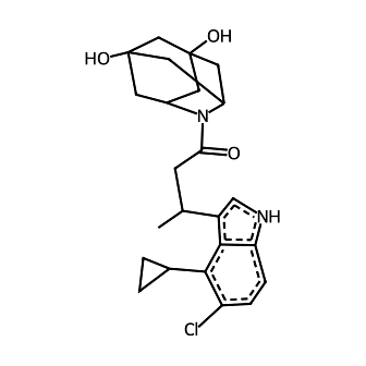 CC(CC(=O)N1C2CC3(O)CC1CC(O)(C2)C3)c1c[nH]c2ccc(Cl)c(C3CC3)c12